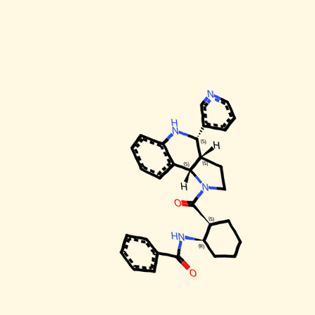 O=C(N[C@@H]1CCCC[C@@H]1C(=O)N1CC[C@H]2[C@@H](c3cccnc3)Nc3ccccc3[C@H]21)c1ccccc1